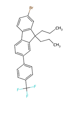 CCCC1(CCC)c2cc(Br)ccc2-c2ccc(-c3ccc(C(F)(F)F)cc3)cc21